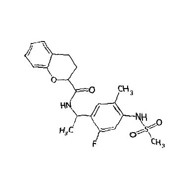 Cc1cc(C(C)NC(=O)C2CCc3ccccc3O2)c(F)cc1NS(C)(=O)=O